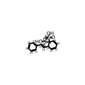 O=S(=O)(O)C1(S(=O)(=O)O)C=CC=CC1C=Cc1ccccc1